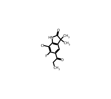 CCC(=O)c1cc2c(c(Cl)c1F)NC(=O)C2(C)C